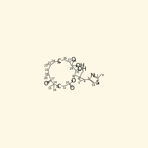 Cc1nc(C2CC2(C)C2OC(=O)CCC(C)(C)C(=O)C(C)CC(C)CCCC3OC3(O)C2O)cs1